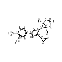 Nc1ncc(-c2cn(C3[C@H]4CNC[C@@H]34)c(C3CC3)n2)cc1C(F)(F)F